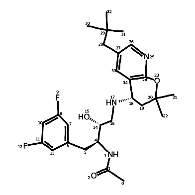 CC(=O)N[C@@H](Cc1cc(F)cc(F)c1)[C@H](O)CN[C@H]1CC(C)(C)Oc2ncc(CC(C)(C)C)cc21